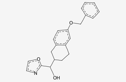 OC(c1ncco1)C1CCc2cc(OCc3ccccc3)ccc2C1